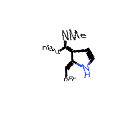 CCC/C=c1\[nH]cc\c1=C(\CCCC)NC